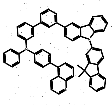 CC1(C)c2ccccc2-c2ccc(-n3c4ccccc4c4cc(-c5cccc(-c6cccc(N(c7ccccc7)c7ccc(-c8cccc9ncccc89)cc7)c6)c5)ccc43)cc21